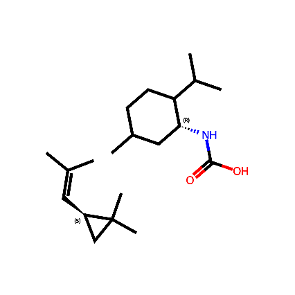 CC(C)=C[C@@H]1CC1(C)C.CC1CCC(C(C)C)[C@H](NC(=O)O)C1